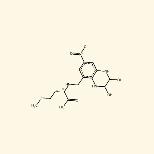 CSCC[C@H](NCc1cc([N+](=O)[O-])cc2c1NC(O)C(O)N2)C(=O)O